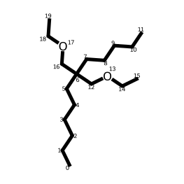 CCCCCCC(CCCCC)(COCC)COCC